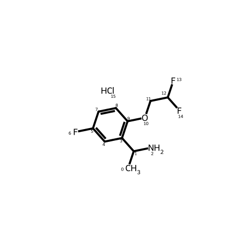 CC(N)c1cc(F)ccc1OCC(F)F.Cl